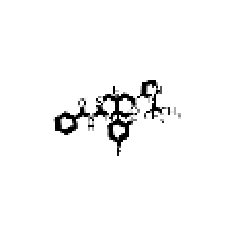 CC(C)n1nccc1[C@H]1C[C@H]2CSC(NC(=O)c3ccccc3)=N[C@@]2(c2ccc(F)cc2F)CO1